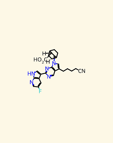 N#CCCCCc1cn([C@@H]2C3CCC(CC3)[C@H]2C(=O)O)c2nc(-c3c[nH]c4ncc(F)cc34)ncc12